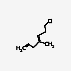 C=CCC(C)=CCCCl